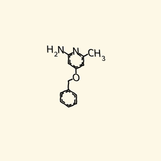 Cc1cc(OCc2ccccc2)cc(N)n1